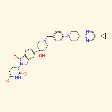 O=C1CCC(N2Cc3cc(C4(O)CCN(Cc5ccc(N6CCC(c7ncc(C8CC8)cn7)CC6)cc5)CC4)ccc3C2=O)C(=O)N1